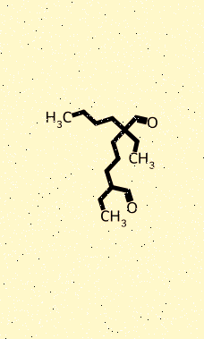 CCCCC(C=O)(CC)CCCC(C=O)CC